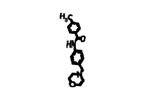 Cc1ccc(C(=O)Nc2ccc(CN3CCOCC3)cc2)cc1